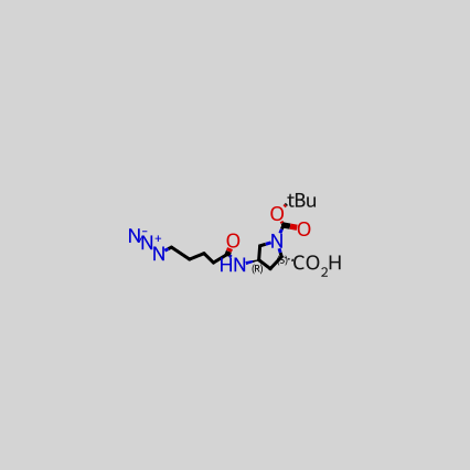 CC(C)(C)OC(=O)N1C[C@H](NC(=O)CCCCN=[N+]=[N-])C[C@H]1C(=O)O